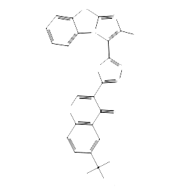 Cc1nc2sc3ccccc3n2c1-c1nnc(-c2coc3ccc(C(C)(C)C)cc3c2=O)o1